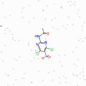 CC(=O)Nc1nc(Cl)c([N+](=O)[O-])c(Cl)n1